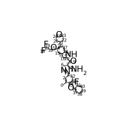 CC1=CC(n2ncc(C(=O)c3cc4cc(OCC(F)F)c(C5CCOCC5)cc4[nH]3)c2N)CC=C1Oc1ccccc1F